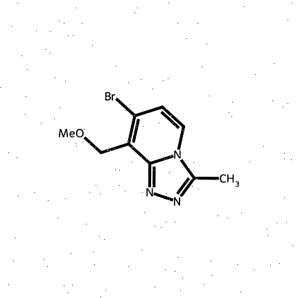 COCc1c(Br)ccn2c(C)nnc12